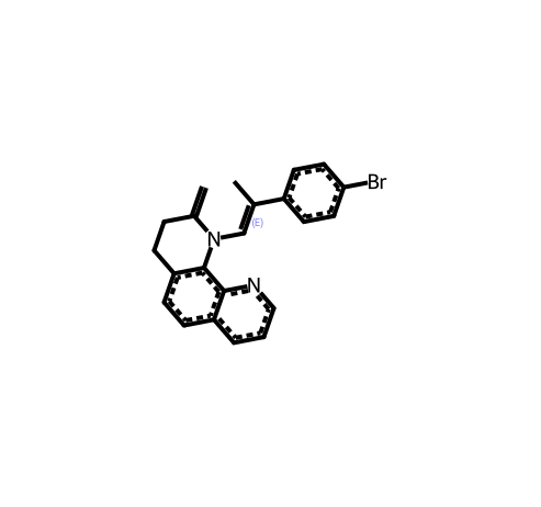 C=C1CCc2ccc3cccnc3c2N1/C=C(\C)c1ccc(Br)cc1